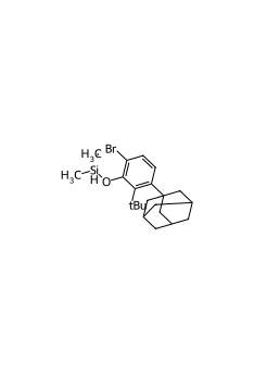 C[SiH](C)Oc1c(Br)ccc(C23CC4CC(CC(C4)C2)C3)c1C(C)(C)C